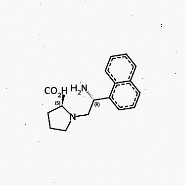 N[C@@H](CN1CCC[C@H]1C(=O)O)c1cccc2ccccc12